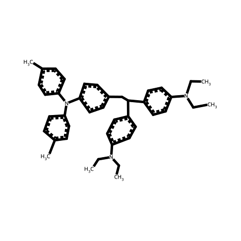 CCN(CC)c1ccc(C(Cc2ccc(N(c3ccc(C)cc3)c3ccc(C)cc3)cc2)c2ccc(N(CC)CC)cc2)cc1